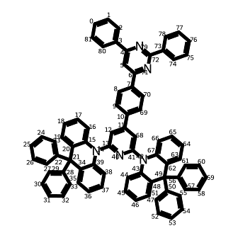 c1ccc(-c2cc(-c3ccc(-c4cc(N5c6ccccc6C(c6ccccc6)(c6ccccc6)c6ccccc65)nc(N5c6ccccc6C(c6ccccc6)(c6ccccc6)c6ccccc65)c4)cc3)nc(-c3ccccc3)n2)cc1